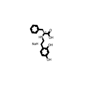 O=C(O)[C@H](Cc1ccccc1)NCCc1ccc(O)cc1O.[NaH]